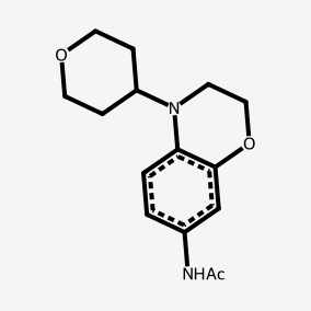 CC(=O)Nc1ccc2c(c1)OCCN2C1CCOCC1